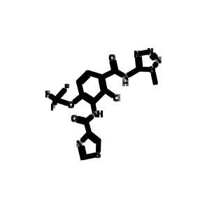 Cn1nnnc1NC(=O)c1ccc(OC(F)(F)F)c(NC(=O)c2cscn2)c1Cl